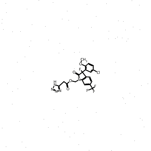 COc1ccc(Cl)cc1C1(F)C(=O)N(COC(=O)Cc2nnn[nH]2)c2cc(C(F)(F)F)ccc21